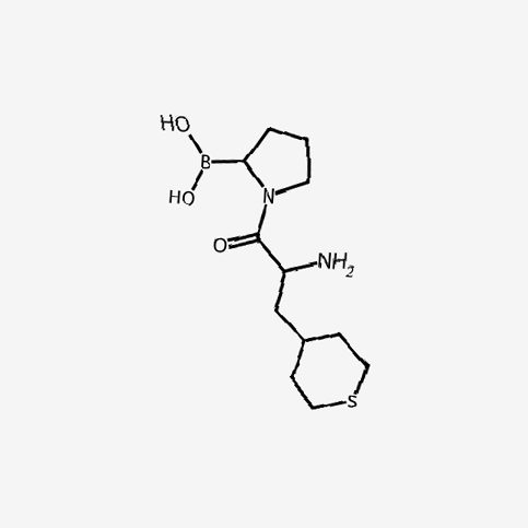 NC(CC1CCSCC1)C(=O)N1CCCC1B(O)O